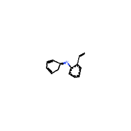 C=Cc1ccccc1/N=C1/C=CC=CC1